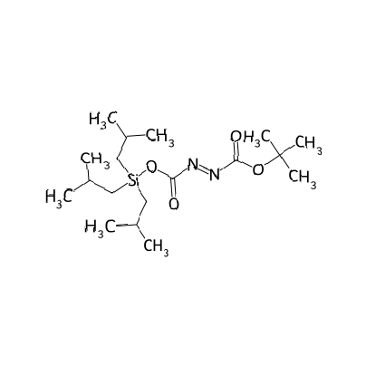 CC(C)C[Si](CC(C)C)(CC(C)C)OC(=O)N=NC(=O)OC(C)(C)C